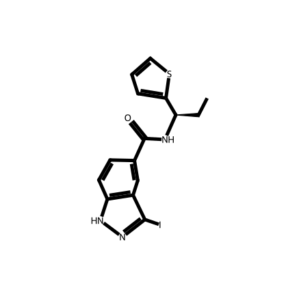 CC[C@@H](NC(=O)c1ccc2[nH]nc(I)c2c1)c1cccs1